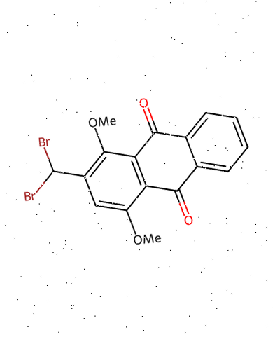 COc1cc(C(Br)Br)c(OC)c2c1C(=O)c1ccccc1C2=O